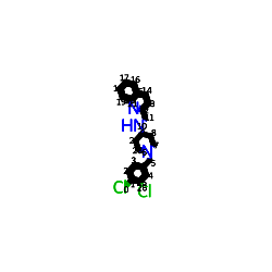 Clc1ccc(CN2CCC(NCc3ccc4ccccc4n3)CC2)cc1Cl